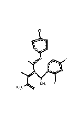 C=C(C(=O)O)/C(C)=C(/C(C)=C/c1ccc(Cl)cc1)N(N)c1ccc(Cl)cc1Cl